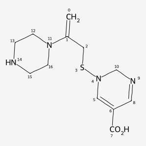 C=C(CSN1C=C(C(=O)O)C=NC1)N1CCNCC1